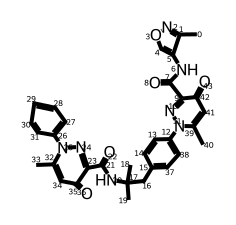 Cc1nocc1NC(=O)c1nn(-c2ccc(CC(C)(C)NC(=O)c3nn(-c4ccccc4)c(C)cc3=O)cc2)c(C)cc1=O